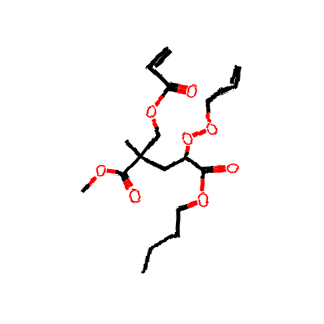 C=CCOOC(CC(C)(COC(=O)C=C)C(=O)OC)C(=O)OCCCC